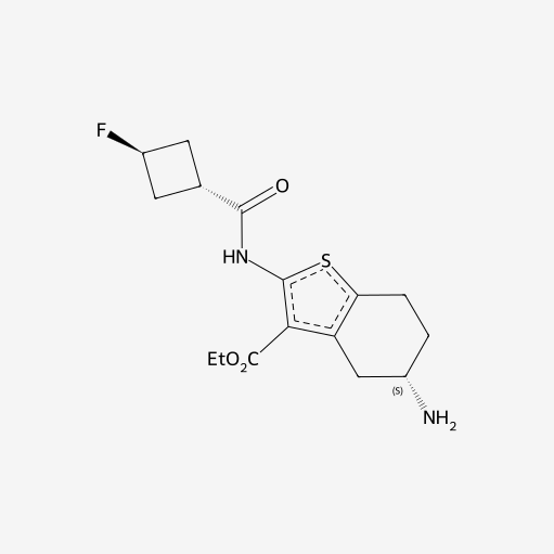 CCOC(=O)c1c(NC(=O)[C@H]2C[C@H](F)C2)sc2c1C[C@@H](N)CC2